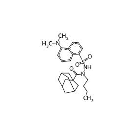 CCCCN(NS(=O)(=O)c1cccc2c(N(C)C)cccc12)C(=O)C12CC3CC(CC(C3)C1)C2